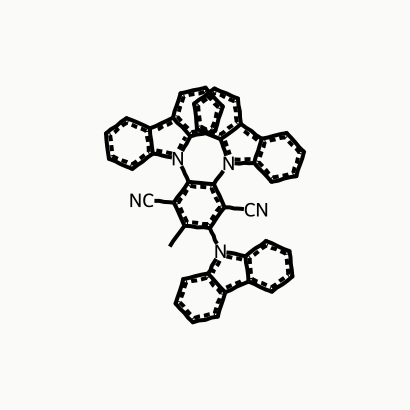 Cc1c(C#N)c(-n2c3ccccc3c3ccccc32)c(-n2c3ccccc3c3ccccc32)c(C#N)c1-n1c2ccccc2c2ccccc21